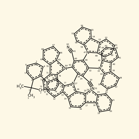 CC(C)(C)c1ccccc1-c1ccc2c3ccc4c5ccccc5sc4c3n(-c3c(C#N)c(-n4c5ccccc5c5ccccc54)c(-n4c5ccccc5c5ccccc54)c(C#N)c3-n3c4ccccc4c4ccccc43)c2c1